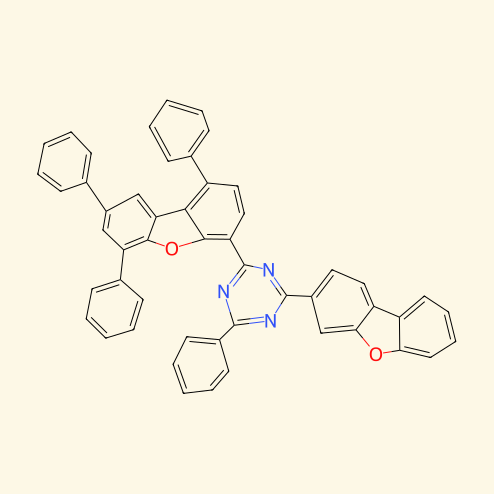 c1ccc(-c2cc(-c3ccccc3)c3oc4c(-c5nc(-c6ccccc6)nc(-c6ccc7c(c6)oc6ccccc67)n5)ccc(-c5ccccc5)c4c3c2)cc1